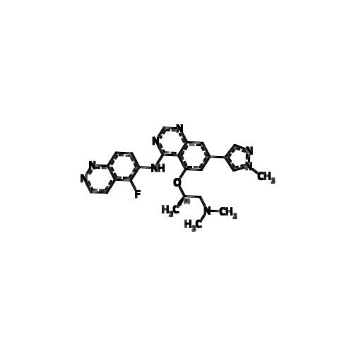 C[C@H](CN(C)C)Oc1cc(-c2cnn(C)c2)cc2ncnc(Nc3ccc4nnccc4c3F)c12